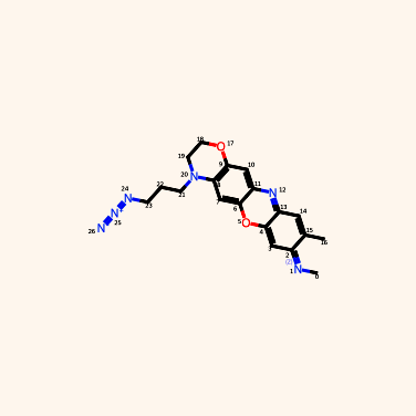 C/N=c1/cc2oc3cc4c(cc3nc-2cc1C)OCCN4CCCN=[N+]=[N-]